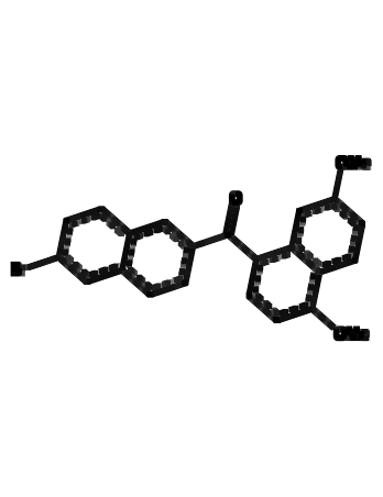 COc1ccc2c(OC)ccc(C(=O)c3ccc4cc(Br)ccc4c3)c2c1